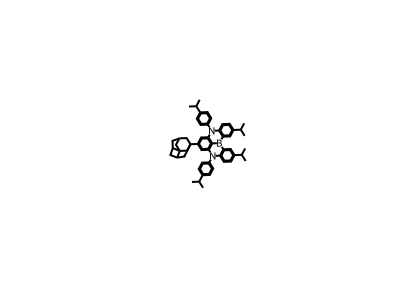 CC(C)c1ccc(N2c3ccc(C(C)C)cc3B3c4cc(C(C)C)ccc4N(c4ccc(C(C)C)cc4)c4cc(C56CC7CC8CC(C5)C8(C7)C6)cc2c43)cc1